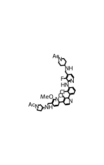 COc1nc(-c2ccnc(-c3cccc(Nc4nccc(CNC5CCN(C(C)=O)CC5)c4F)c3Cl)c2Cl)ccc1CN[C@@H]1CCN(C(C)=O)C1